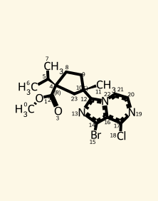 COC(=O)[C@]1(C(C)C)CC[C@](C)(c2nc(Br)c3c(Cl)nccn23)C1